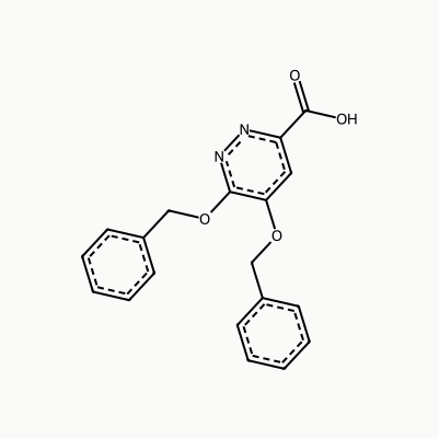 O=C(O)c1cc(OCc2ccccc2)c(OCc2ccccc2)nn1